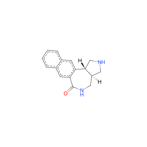 O=C1NC[C@@H]2CNC[C@H]2c2cc3ccccc3cc21